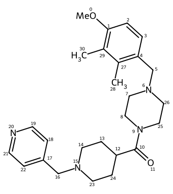 COc1ccc(CN2CCN(C(=O)C3CCN(Cc4ccncc4)CC3)CC2)c(C)c1C